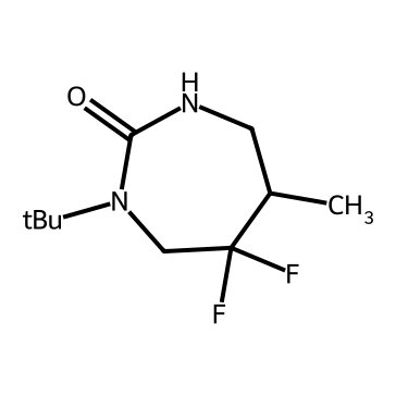 CC1CNC(=O)N(C(C)(C)C)CC1(F)F